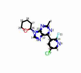 Cc1nc(-c2cc(Cl)cnc2F)c2ncn(C3CCCCO3)c2n1